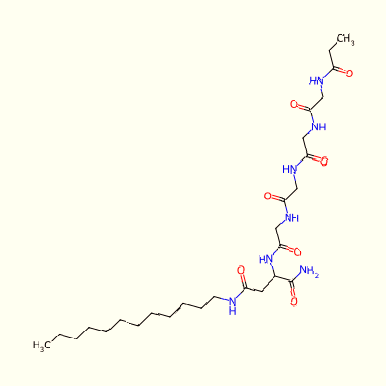 CCCCCCCCCCCCNC(=O)CC(NC(=O)CNC(=O)CNC(=O)CNC(=O)CNC(=O)CC)C(N)=O